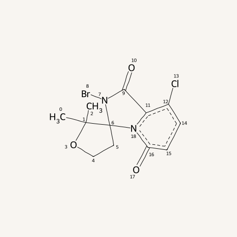 CC1(C)OCCC12N(Br)C(=O)c1c(Cl)ccc(=O)n12